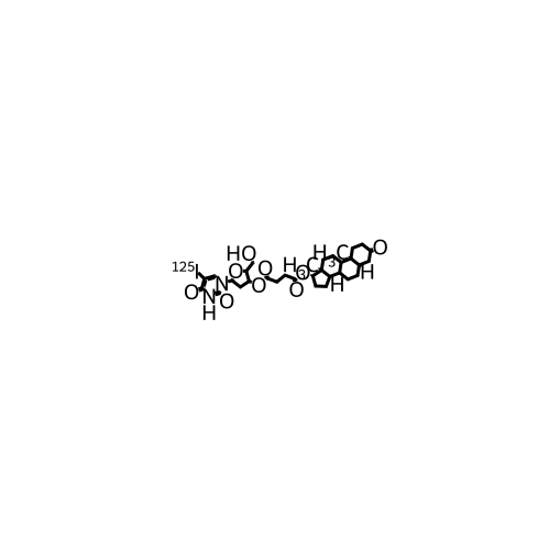 C[C@]12CCC3C(CC[C@H]4CC(=O)CC[C@]34C)[C@@H]1CC[C@@H]2OC(=O)CCC(=O)OC1CC(n2cc([125I])c(=O)[nH]c2=O)OC1CO